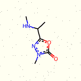 CNC(C)c1nn(C)c(=O)o1